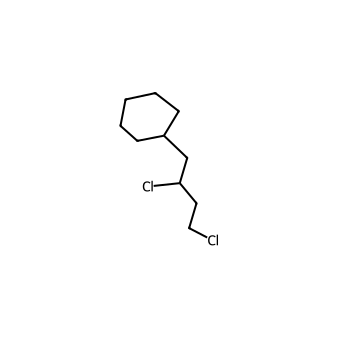 ClCCC(Cl)CC1CCCCC1